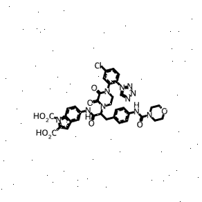 O=C(O)c1cc2cc(NC(=O)C(Cc3ccc(NC(=O)N4CCOCC4)cc3)N3CCN(c4cc(Cl)ccc4-n4cnnn4)C(=O)C3=O)ccc2n1C(=O)O